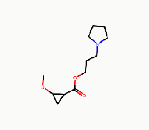 COC1CC1C(=O)OCCCN1CCCC1